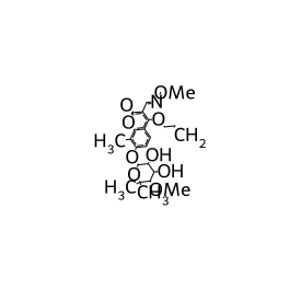 C=CCOc1c(C=NOC)c(=O)oc2c(C)c(O[C@@H]3OC(C)(C)[C@H](OC)[C@H](O)[C@H]3O)ccc12